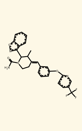 CC1C(=Cc2cccc(Oc3ccc(C(F)(F)F)cn3)c2)CCN(C(N)=O)C1c1noc2ccccc12